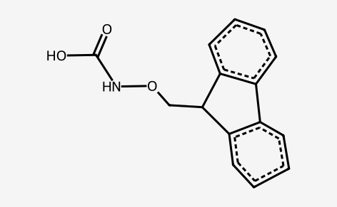 O=C(O)NOCC1c2ccccc2-c2ccccc21